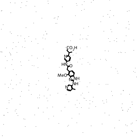 COc1c(CC(=O)Nc2ccc(C(C)CC(=O)O)nc2)ccc2[nH]c(Nc3cnccc3C)nc12